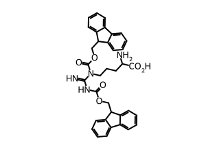 N=C(NC(=O)OCC1c2ccccc2-c2ccccc21)N(CCCC(N)C(=O)O)C(=O)OCC1c2ccccc2-c2ccccc21